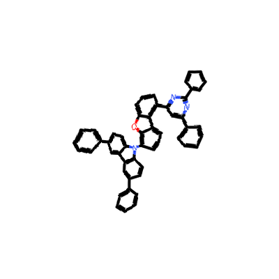 c1ccc(-c2ccc3c(c2)c2cc(-c4ccccc4)ccc2n3-c2cccc3c2oc2cccc(-c4cc(-c5ccccc5)nc(-c5ccccc5)n4)c23)cc1